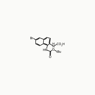 CC(C)(C)OC(=O)Nc1c(NC(=O)O)ccc2cc(Br)ccc12